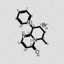 CC1CCC([n+]2ccccc2)c2nccc(=O)n21.[Br-]